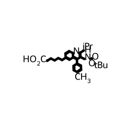 Cc1ccc(-c2c(CNC(=O)OC(C)(C)C)c(CC(C)C)nc3ccc(CCCCCC(=O)O)cc23)cc1